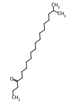 CCCC(=O)CCCCCCCCCCCCCCC(C)C